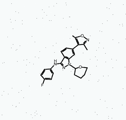 Cc1noc(C)c1-c1ccc2c(Nc3ccc(F)cc3)nn(C3CCCCO3)c2c1